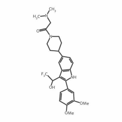 COc1ccc(-c2[nH]c3ccc(C4CCN(C(=O)CN(C)C)CC4)cc3c2C(O)C(F)(F)F)cc1OC